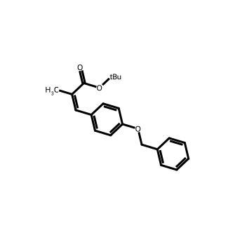 CC(=Cc1ccc(OCc2ccccc2)cc1)C(=O)OC(C)(C)C